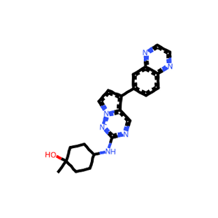 CC1(O)CCC(Nc2ncc3c(-c4ccc5nccnc5c4)ccn3n2)CC1